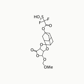 COCOC1OC(=O)C2OC3(OC12)C1CC2CC3CC(OC(=O)C(F)(F)S(=O)(=O)O)(C2)C1